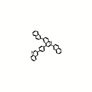 c1ccc2cc(-c3ccc4nc(-c5ccc6ccccc6c5)cc(-c5ccc(-c6cnc7ccccc7c6)cc5)c4c3)ccc2c1